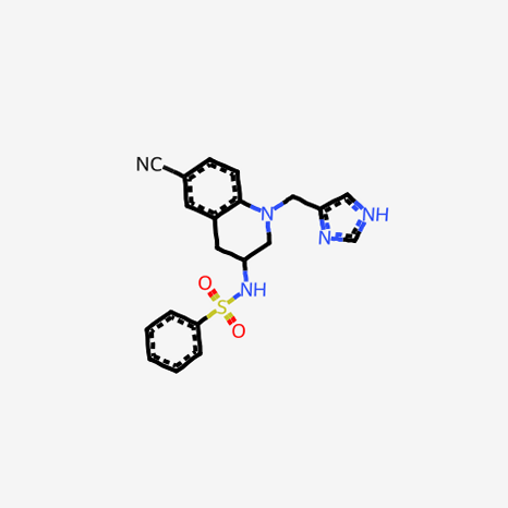 N#Cc1ccc2c(c1)CC(NS(=O)(=O)c1ccccc1)CN2Cc1c[nH]cn1